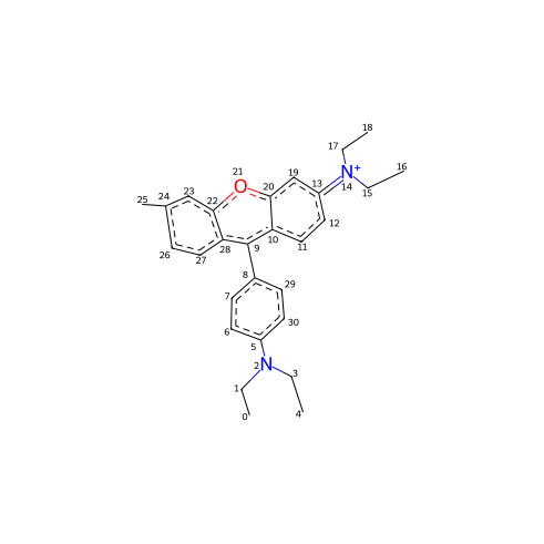 CCN(CC)c1ccc(-c2c3ccc(=[N+](CC)CC)cc-3oc3cc(C)ccc23)cc1